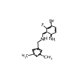 Cc1cc(C)cc(CN/C=C2\C(=N)C=CC(Br)=C2F)c1